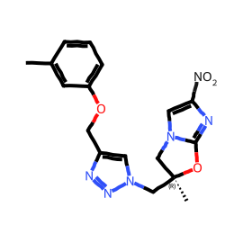 Cc1cccc(OCc2cn(C[C@@]3(C)Cn4cc([N+](=O)[O-])nc4O3)nn2)c1